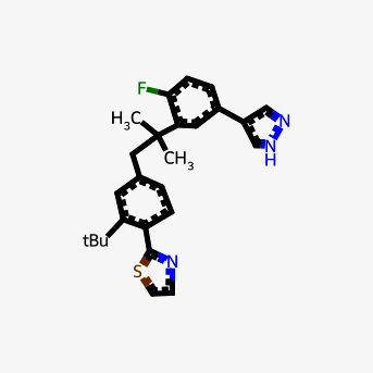 CC(C)(C)c1cc(CC(C)(C)c2cc(-c3cn[nH]c3)ccc2F)ccc1-c1nccs1